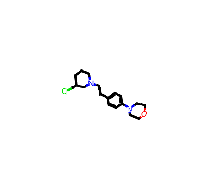 ClC1CCCN(CCc2ccc(N3CCOCC3)cc2)C1